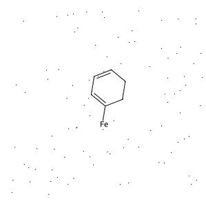 [Fe][C]1=CC=CCC1